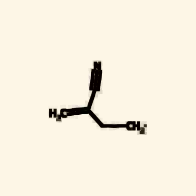 [CH2]CC(=C)C#N